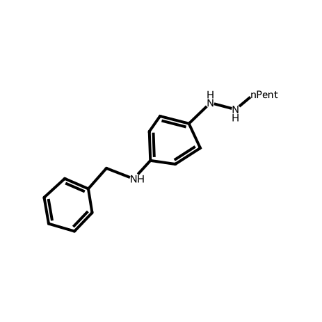 CCCCCNNc1ccc(NCc2ccccc2)cc1